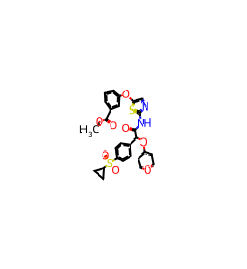 COC(=O)c1cccc(Oc2cnc(NC(=O)C(OC3CCOCC3)c3ccc(S(=O)(=O)C4CC4)cc3)s2)c1